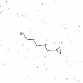 CC(C)CC[CH]OCC1CC1